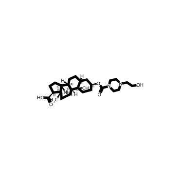 C[C@]12CC[C@H](OC(=O)N3CCN(CCO)CC3)C[C@H]1CC[C@@H]1[C@@H]2CC[C@]2(C)[C@@H](C(=O)O)CC[C@]12N